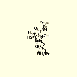 CC(C)C[C@H](CC(=O)N(O)[C@@H](C(=O)NC1CC1)C(C)(C)S)C(N)=O